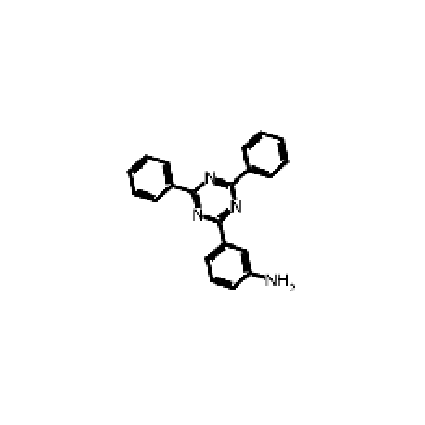 Nc1cccc(-c2nc(-c3ccccc3)nc(-c3ccccc3)n2)c1